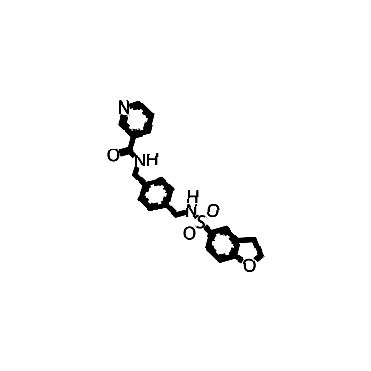 O=C(NCc1ccc(CNS(=O)(=O)c2ccc3c(c2)CCO3)cc1)c1cccnc1